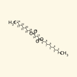 CCCCCCCCCCOC(=O)CCC(=O)OCCCCCCCC